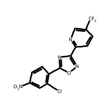 O=[N+]([O-])c1ccc(-c2nc(-c3ccc(C(F)(F)F)cn3)no2)c(Cl)c1